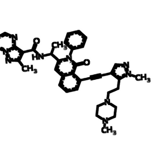 Cc1nn2cccnc2c1C(=O)NC(C)c1cc2cccc(C#Cc3cnn(C)c3CCN3CCN(C)CC3)c2c(=O)n1-c1ccccc1